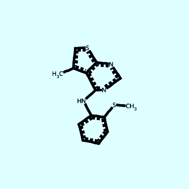 CSc1ccccc1Nc1ncnc2scc(C)c12